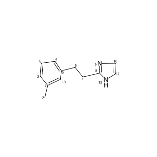 Cc1cccc(CCc2ncc[nH]2)c1